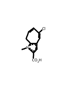 Cn1c(C(=O)O)cc2c1CC=CC(Cl)=C2